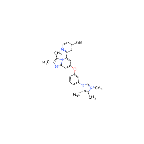 Cc1nc2cc(Oc3cccc(-n4c[n+](C)c(C)c4C)c3)cc(-c3cc(C(C)(C)C)ccn3)n2c1C